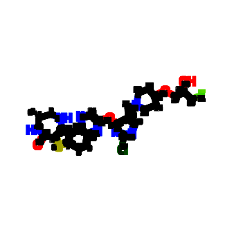 C[C@@H]1CNc2c(sc3ccc4nc(Oc5nc(Cl)ncc5CN5CCC(OCC(O)CF)CC5)cnc4c23)C(=O)N1